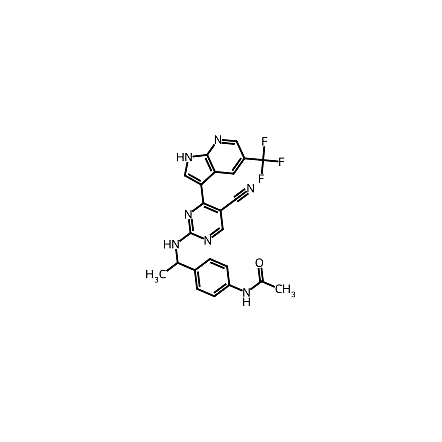 CC(=O)Nc1ccc(C(C)Nc2ncc(C#N)c(-c3c[nH]c4ncc(C(F)(F)F)cc34)n2)cc1